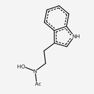 CC(=O)N(O)CCc1c[nH]c2ccccc12